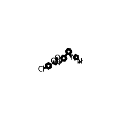 CN(C)[C@@H]1CCN(Cc2ccccc2-c2ccc(CN3C[C@@H](c4ccc(Cl)cc4)OC3=O)cc2)C1